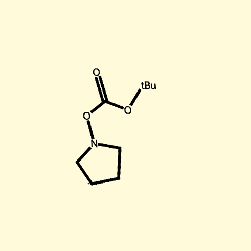 CC(C)(C)OC(=O)ON1C[CH]CC1